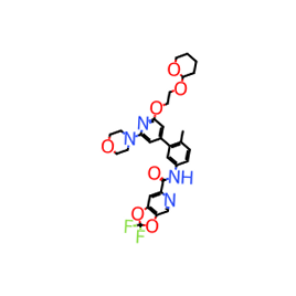 Cc1ccc(NC(=O)c2cc3c(cn2)OC(F)(F)O3)cc1-c1cc(OCCOC2CCCCO2)nc(N2CCOCC2)c1